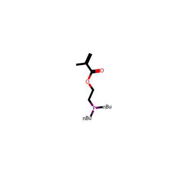 C=C(C)C(=O)OCCP(CCCC)CCCC